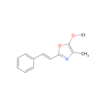 CCOc1oc(/C=C/c2ccccc2)nc1C